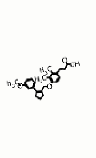 COc1cccc(C2=C(COc3ccc(CCC(=O)O)c(C)c3C)CCC2)c1